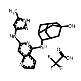 Cc1cc(Nc2cc3ncccc3c(NC3C4CC5CC3CC(O)(C5)C4)n2)n[nH]1.O=C(O)C(F)(F)F